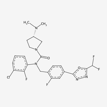 CN(C)[C@H]1CCN(C(=O)N(Cc2ccc(-c3nnc(C(F)F)o3)cc2F)c2cccc(Cl)c2F)C1